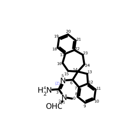 CN(C=O)/C(N)=N\C1c2ccccc2CC12CCc1ccccc1CC2